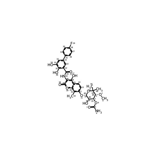 CO[C@@H]1[C@@H](OC(N)=O)[C@@H](O)[C@H](Oc2ccc3c(O)c(NC(=O)c4cc(-c5ccc(F)cc5)cc(O)c4O)c(=O)oc3c2C)OC1(C)C